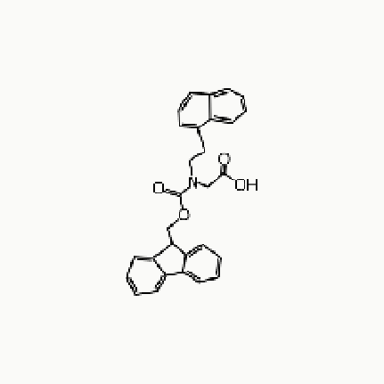 O=C(O)CN(CCc1cccc2ccccc12)C(=O)OCC1c2ccccc2-c2ccccc21